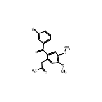 COc1cc(CC(C)=O)c(C(=O)c2cccc(Cl)c2)cc1OC